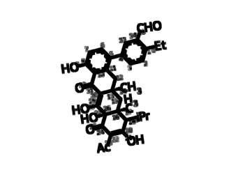 CCc1ccc(-c2ccc(O)c3c2C[C@]2(C)C[C@]4(C)C(C(C)C)C(O)=C(C(C)=O)C(=O)[C@]4(O)C(O)=C2C3=O)cc1C=O